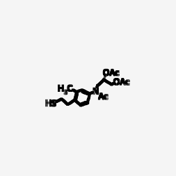 CC(=O)OC[C@H](CN(C(C)=O)c1ccc(CCS)c(C)c1)OC(C)=O